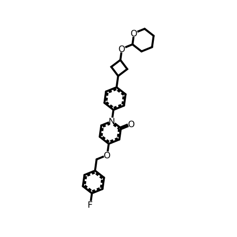 O=c1cc(OCc2ccc(F)cc2)ccn1-c1ccc(C2CC(OC3CCCCO3)C2)cc1